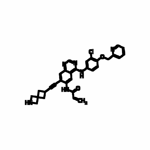 C=CC(=O)Nc1cc2c(Nc3ccc(OCc4ccccn4)c(Cl)c3)ncnc2cc1C#CC1CC2(CNC2)C1